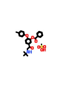 CS(=O)(=O)O.Cc1ccc(Oc2ccc(C(=O)CNC(C)(C)C)cc2OC(=O)c2ccccc2)cc1